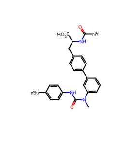 CCCCc1ccc(NC(=O)N(C)c2cccc(-c3ccc(C[C@H](NC(=O)CCC)C(=O)O)cc3)c2)cc1